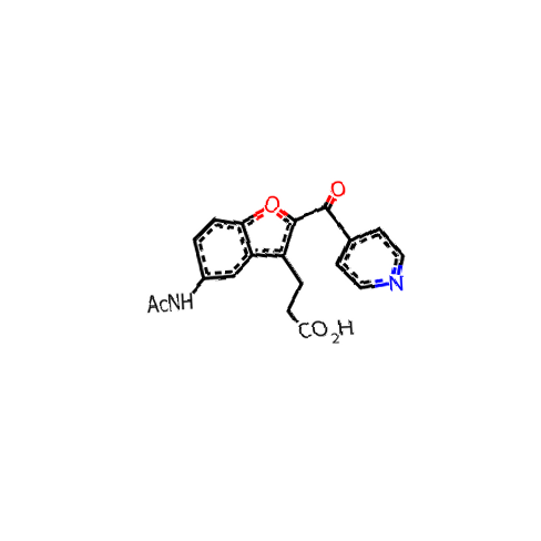 CC(=O)Nc1ccc2oc(C(=O)c3ccncc3)c(CCC(=O)O)c2c1